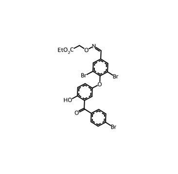 CCOC(=O)CO/N=C\c1cc(Br)c(Oc2ccc(O)c(C(=O)c3ccc(Br)cc3)c2)c(Br)c1